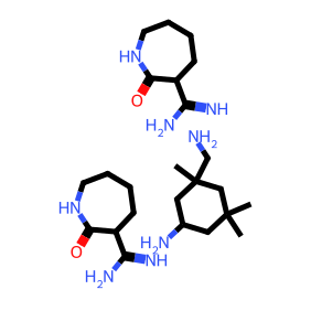 CC1(C)CC(N)CC(C)(CN)C1.N=C(N)C1CCCCNC1=O.N=C(N)C1CCCCNC1=O